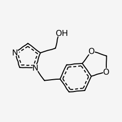 OCc1cncn1Cc1ccc2c(c1)OCO2